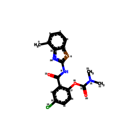 Cc1cccc2sc(NC(=O)c3cc(Cl)ccc3OC(=O)N(C)C)nc12